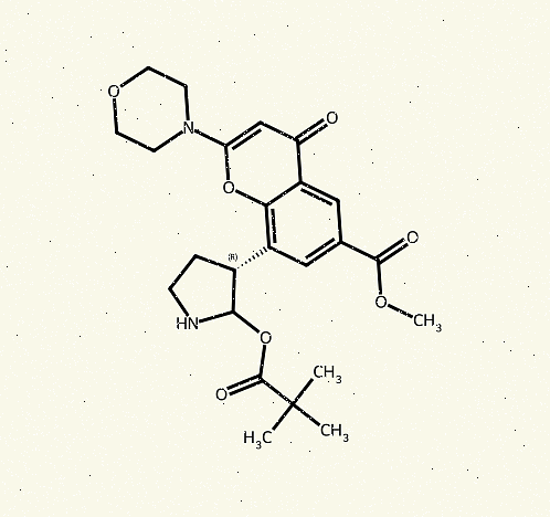 COC(=O)c1cc([C@H]2CCNC2OC(=O)C(C)(C)C)c2oc(N3CCOCC3)cc(=O)c2c1